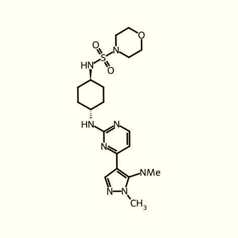 CNc1c(-c2ccnc(N[C@H]3CC[C@H](NS(=O)(=O)N4CCOCC4)CC3)n2)cnn1C